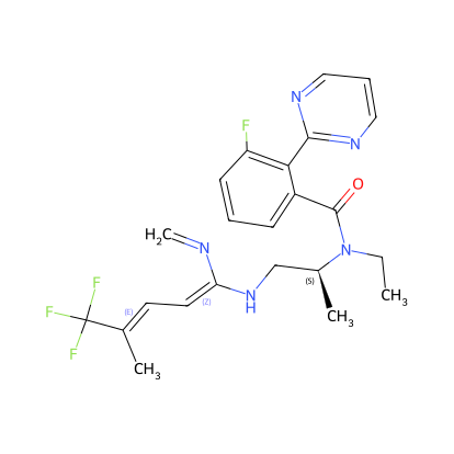 C=N/C(=C\C=C(/C)C(F)(F)F)NC[C@H](C)N(CC)C(=O)c1cccc(F)c1-c1ncccn1